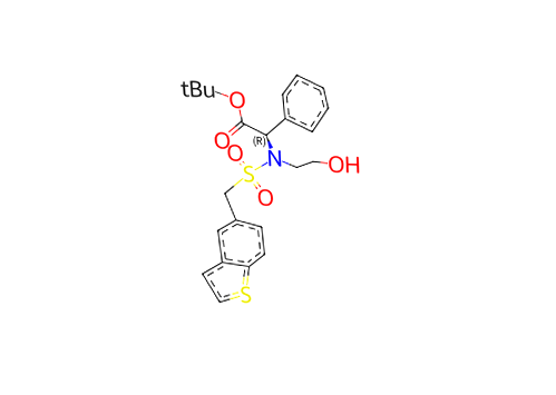 CC(C)(C)OC(=O)[C@@H](c1ccccc1)N(CCO)S(=O)(=O)Cc1ccc2sccc2c1